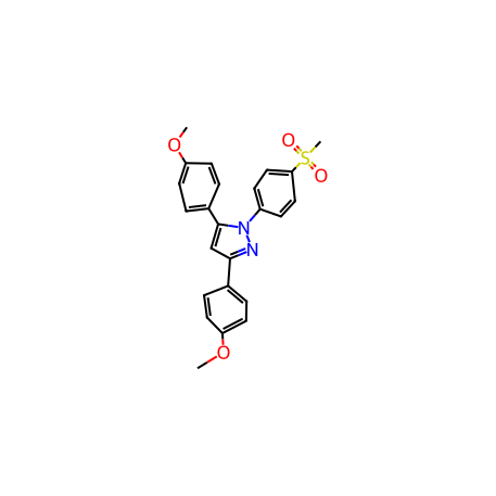 COc1ccc(-c2cc(-c3ccc(OC)cc3)n(-c3ccc(S(C)(=O)=O)cc3)n2)cc1